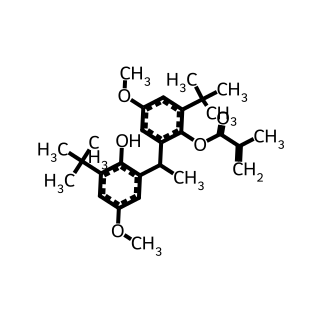 C=C(C)C(=O)Oc1c(C(C)c2cc(OC)cc(C(C)(C)C)c2O)cc(OC)cc1C(C)(C)C